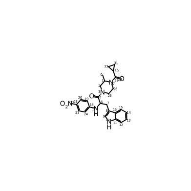 CC1CN(C(=O)C(Cc2c[nH]c3ccccc23)Nc2ccc([N+](=O)[O-])cc2)CCN1C(=O)C1CC1